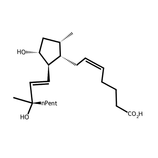 CCCCC[C@](C)(O)/C=C/[C@@H]1[C@@H](C/C=C\CCCC(=O)O)[C@@H](C)C[C@H]1O